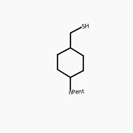 CCCCCC1CCC(CS)CC1